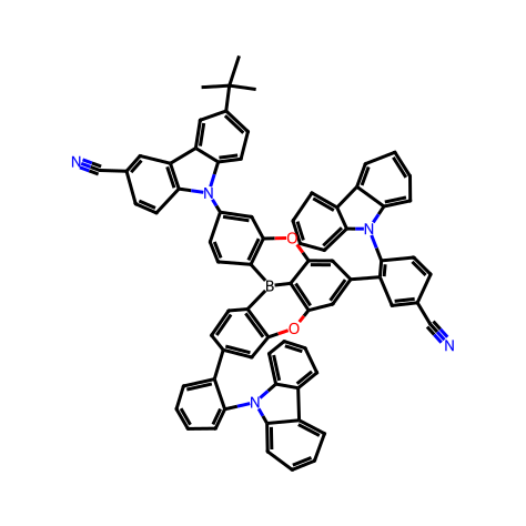 CC(C)(C)c1ccc2c(c1)c1cc(C#N)ccc1n2-c1ccc2c(c1)Oc1cc(-c3cc(C#N)ccc3-n3c4ccccc4c4ccccc43)cc3c1B2c1ccc(-c2ccccc2-n2c4ccccc4c4ccccc42)cc1O3